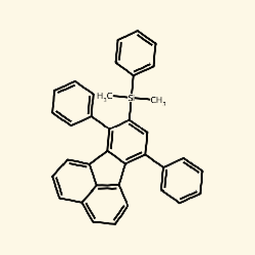 C[Si](C)(c1ccccc1)c1cc(-c2ccccc2)c2c(c1-c1ccccc1)-c1cccc3cccc-2c13